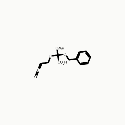 COC(OCC=C=O)(OCc1ccccc1)C(=O)O